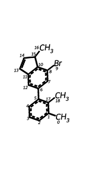 Cc1cccc(-c2cc(Br)c3c(c2)C=CC3C)c1C